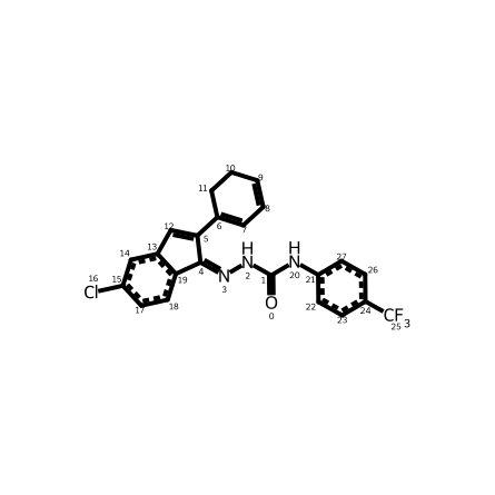 O=C(NN=C1C(C2=CC=CCC2)=Cc2cc(Cl)ccc21)Nc1ccc(C(F)(F)F)cc1